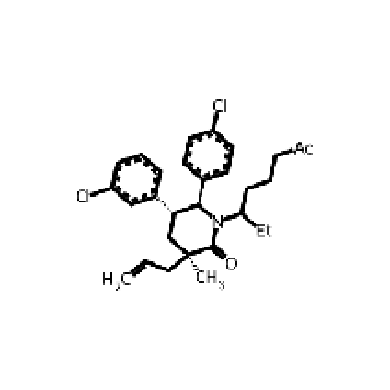 C=CC[C@@]1(C)C[C@H](c2cccc(Cl)c2)[C@@H](c2ccc(Cl)cc2)N(C(CC)CCCC(C)=O)C1=O